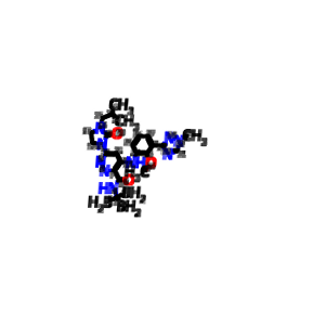 BC(B)(B)NC(=O)c1nnc(N2CCN(CC(C)C)C2=O)cc1Nc1cccc(-c2ncn(C)n2)c1OC